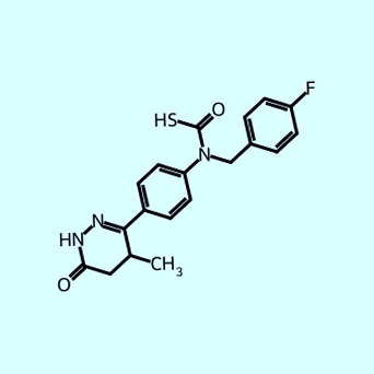 CC1CC(=O)NN=C1c1ccc(N(Cc2ccc(F)cc2)C(=O)S)cc1